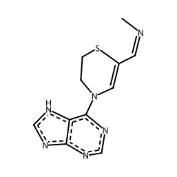 C/N=C\C1=CN(c2ncnc3nc[nH]c23)CCS1